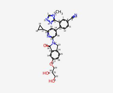 Cn1cnnc1-c1cc(C#N)ccc1-c1cc(C2CC2)nc(N2Cc3ccc(OC[C@@H](O)CO)cc3C2=O)c1